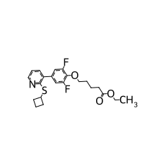 CCOC(=O)CCCCOc1c(F)cc(-c2cccnc2SC2CCC2)cc1F